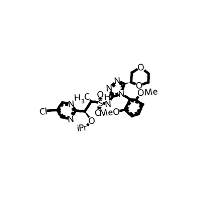 COc1cccc(OC)c1-n1c(NS(=O)(=O)[C@@H](C)[C@@H](OC(C)C)c2ncc(Cl)cn2)nnc1[C@@H]1COCCO1